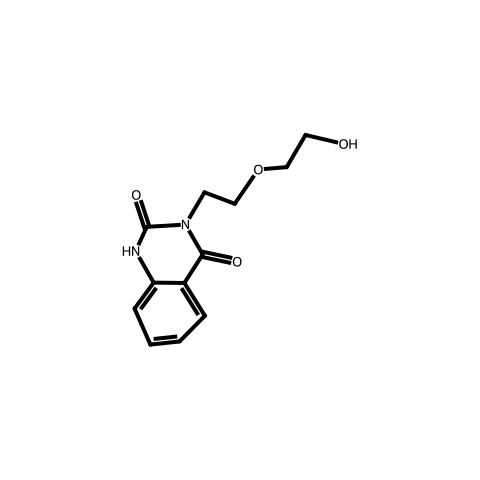 O=c1[nH]c2ccccc2c(=O)n1CCOCCO